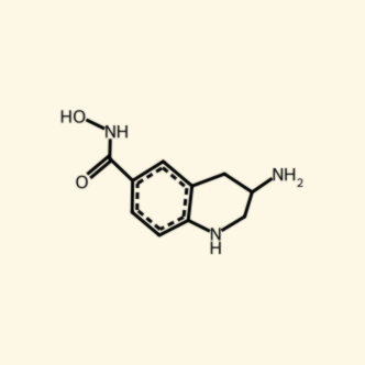 NC1CNc2ccc(C(=O)NO)cc2C1